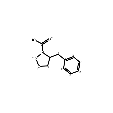 O=C(O)N1SOCC1Cc1ccccc1